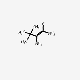 CC(C)(C)/C(N)=C(/N)F